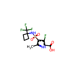 Cc1[nH]c(C(=O)O)c(F)c1S(=O)(=O)NC1(C(F)(F)F)CCC1